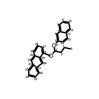 CCCC(Oc1[c]c2ccccc2cc1)Oc1cccc2cc3ccccc3cc12